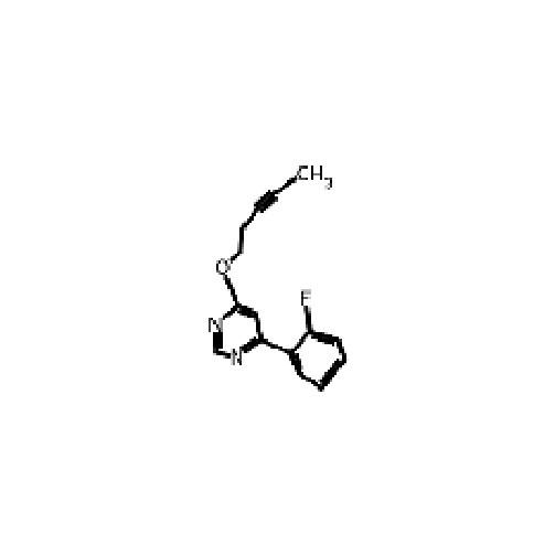 CC#CCCOc1cc(-c2ccccc2F)ncn1